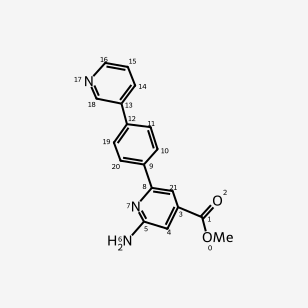 COC(=O)c1cc(N)nc(-c2ccc(-c3cccnc3)cc2)c1